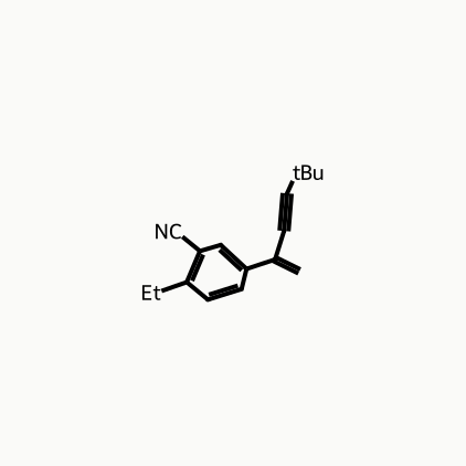 C=C(C#CC(C)(C)C)c1ccc(CC)c(C#N)c1